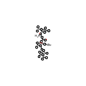 Cc1ccc(N2c3cc(N(c4ccccc4)c4ccccc4)ccc3B3c4ccccc4N(c4ccccc4)c4cccc2c43)cc1-c1ccc(N(c2ccccc2)c2ccc3c(c2)N(c2ccc(C(C)(C)C)cc2)c2cc(-c4ccc5c6c(ccc5c4)N(c4ccccc4)c4cc(N(c5ccccc5)c5ccccc5)cc5c4B6c4ccccc4N5c4ccccc4)cc4c2B3c2ccccc2N4c2ccccc2)cc1